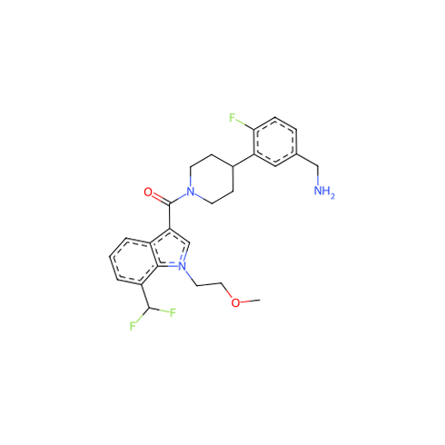 COCCn1cc(C(=O)N2CCC(c3cc(CN)ccc3F)CC2)c2cccc(C(F)F)c21